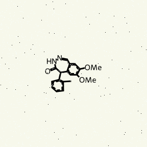 COc1cc2c(cc1OC)C(c1ccccc1C)C(=O)NN=C2